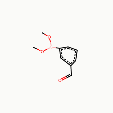 COB(OC)c1cccc(C=O)c1